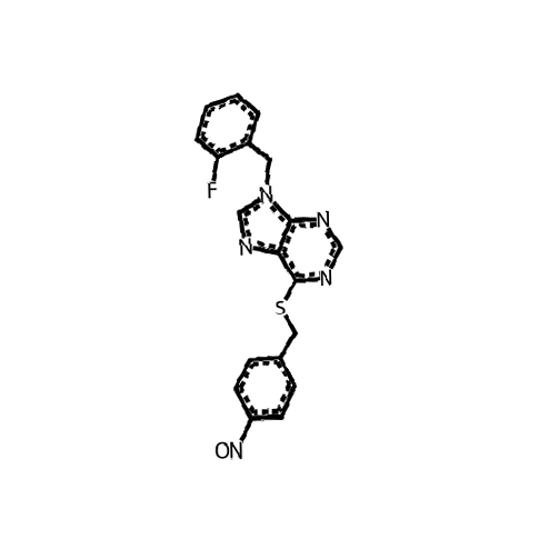 O=Nc1ccc(CSc2ncnc3c2ncn3Cc2ccccc2F)cc1